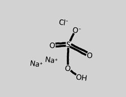 O=S(=O)([O-])OO.[Cl-].[Na+].[Na+]